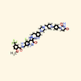 COc1ccc(C(F)(F)F)cc1C(=O)NCc1ccc(-c2nn3c(c2C(N)=O)Nc2ccc(N4CCN(CC5CCN(c6ccc(N7CCC(=O)NC7=O)cc6)CC5)CC4)cc2CC3)c(F)c1